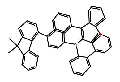 CC1(C)c2ccccc2-c2c(-c3ccc(N(c4ccccc4-c4ccccc4)c4ccc5ccccc5c4-c4ccccc4)cc3)cccc21